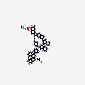 COc1cccc2cc(/C(=C/C=C/c3ccc(N(c4ccc(/C=C/C(C)=C(c5ccccc5)c5ccccc5)cc4)c4cc5c(c(-c6cccc7ccccc67)c4)CCCC5)cc3)c3ccc4ccccc4c3)ccc12